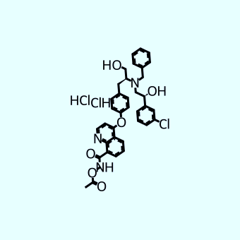 CC(=O)ONC(=O)c1cccc2c(Oc3ccc(C[C@@H](CO)N(Cc4ccccc4)C[C@H](O)c4cccc(Cl)c4)cc3)ccnc12.Cl.Cl